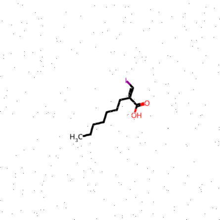 CCCCCCC/C(=C\I)C(=O)O